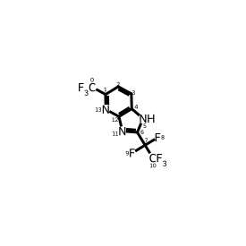 FC(F)(F)c1ccc2[nH]c(C(F)(F)C(F)(F)F)nc2n1